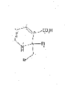 CCC1(CBr)NC=CC=C1C(=O)O